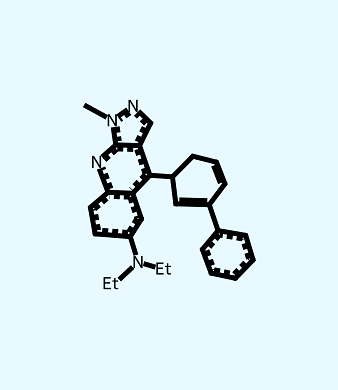 CCN(CC)c1ccc2nc3c(cnn3C)c(C3C=C(c4ccccc4)C=CC3)c2c1